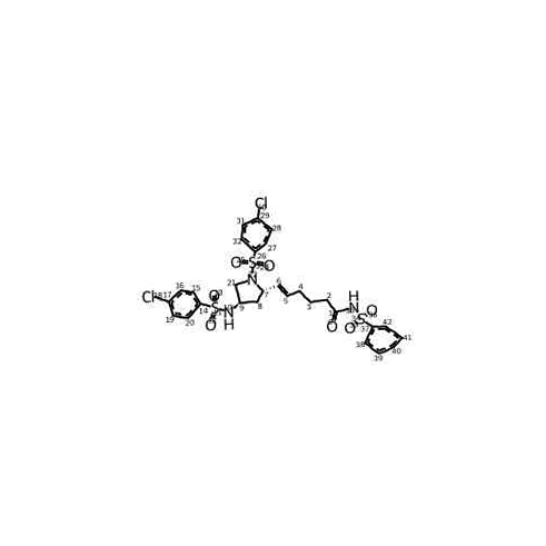 O=C(CCCC=C[C@@H]1C[C@@H](NS(=O)(=O)c2ccc(Cl)cc2)CN1S(=O)(=O)c1ccc(Cl)cc1)NS(=O)(=O)c1ccccc1